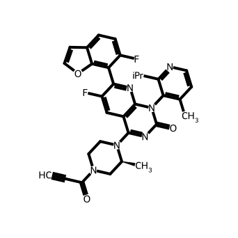 C#CC(=O)N1CCN(c2nc(=O)n(-c3c(C)ccnc3C(C)C)c3nc(-c4c(F)ccc5ccoc45)c(F)cc23)[C@@H](C)C1